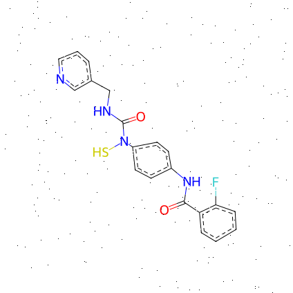 O=C(Nc1ccc(N(S)C(=O)NCc2cccnc2)cc1)c1ccccc1F